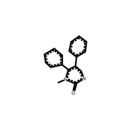 Cn1c(-c2ccccc2)c(-c2ccccc2)cnc1=O